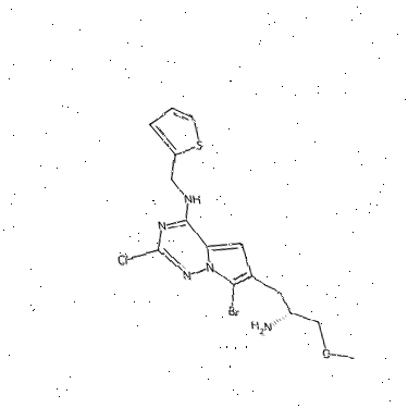 COC[C@H](N)Cc1cc2c(NCc3cccs3)nc(Cl)nn2c1Br